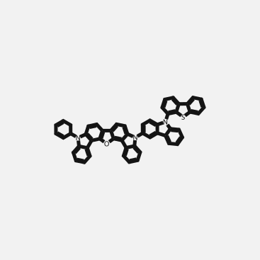 C1=CCC(n2c3ccccc3c3c4oc5c(ccc6c5c5ccccc5n6-c5ccc6c(c5)c5ccccc5n6-c5cccc6c5sc5ccccc56)c4ccc32)C=C1